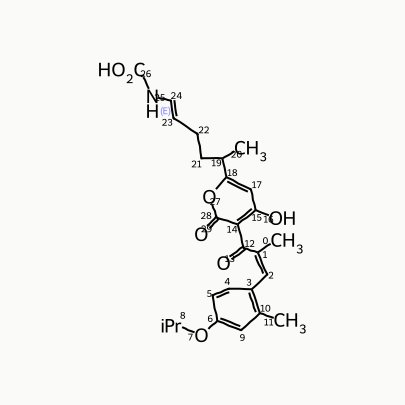 CC(=Cc1ccc(OC(C)C)cc1C)C(=O)c1c(O)cc(C(C)CC/C=C/NC(=O)O)oc1=O